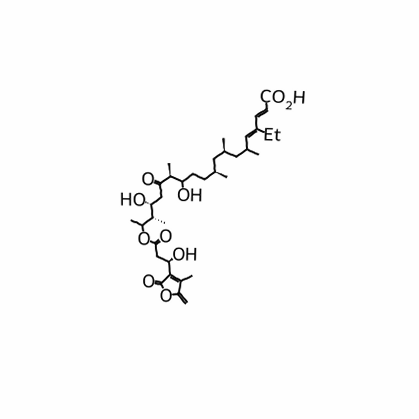 C=C1OC(=O)C([C@H](O)CC(=O)OC(C)[C@@H](C)[C@H](O)CC(=O)[C@@H](C)C(O)CC[C@H](C)C[C@@H](C)CC(C)/C=C(/C=C/C(=O)O)CC)=C1C